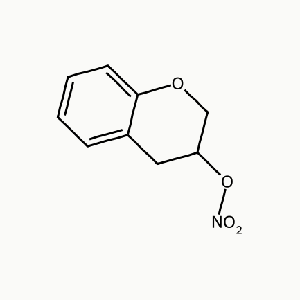 O=[N+]([O-])OC1COc2ccccc2C1